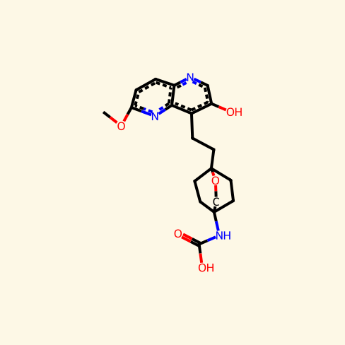 COc1ccc2ncc(O)c(CCC34CCC(NC(=O)O)(CC3)CO4)c2n1